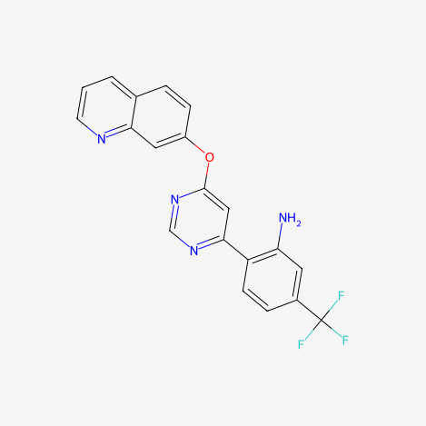 Nc1cc(C(F)(F)F)ccc1-c1cc(Oc2ccc3cccnc3c2)ncn1